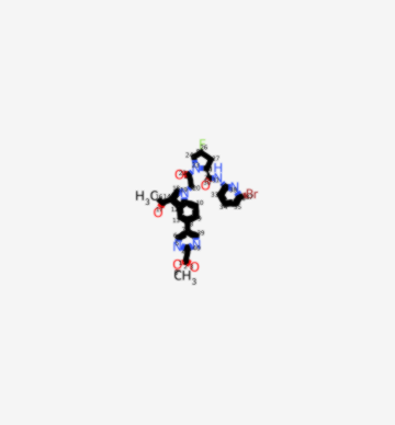 COC(=O)c1ncc(-c2ccc3c(c2)c(C(C)=O)cn3CC(=O)N2C[C@H](F)C[C@H]2C(=O)Nc2cccc(Br)n2)cn1